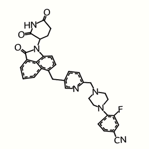 N#Cc1ccc(N2CCN(Cc3ccc(Cc4ccc5c6c(cccc46)C(=O)N5C4CCC(=O)NC4=O)cn3)CC2)c(F)c1